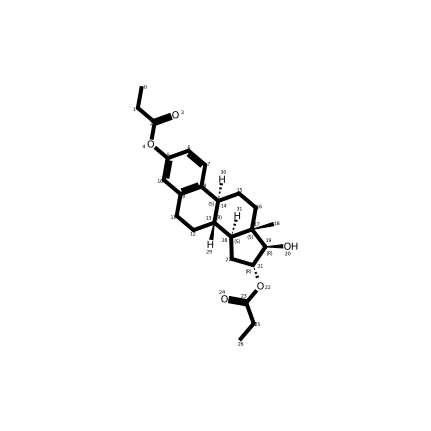 CCC(=O)Oc1ccc2c(c1)CC[C@@H]1[C@@H]2CC[C@]2(C)[C@@H](O)[C@H](OC(=O)CC)C[C@@H]12